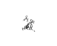 CN[C@H](CCC(=O)I)C(=O)O